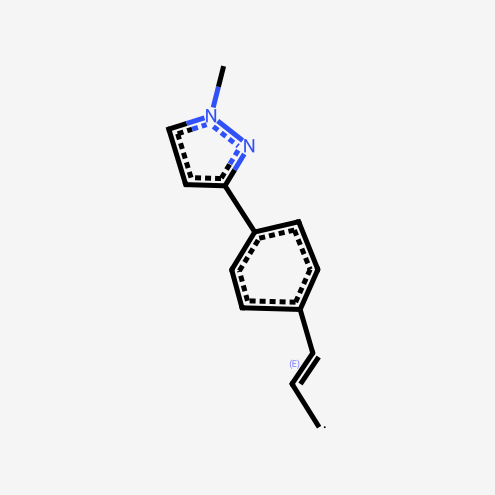 [CH2]/C=C/c1ccc(-c2ccn(C)n2)cc1